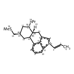 CC=Cn1cc2c3c(cccc31)C1C[C@@H](CSC)CN(CCC)[C@@H]1C2